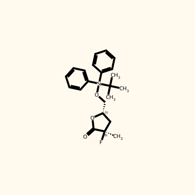 CC(C)(C)[Si](OC[C@@H]1C[C@@](C)(F)C(=O)O1)(c1ccccc1)c1ccccc1